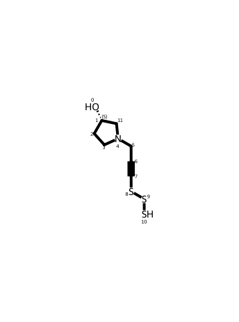 O[C@H]1CCN(CC#CSSS)C1